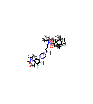 [2H]c1c(F)c([2H])c(N([2H])C(C)=O)c([2H])c1N1CCN(C([2H])CCCN(C([2H])([2H])[2H])S(=O)(=O)CC2([2H])C([2H])([2H])C([2H])([2H])C([2H])([2H])C([2H])(C)C2([2H])[2H])CC1